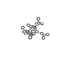 CC1C/C=C(c2cccc(-n3c4ccccc4c4ccccc43)c2)/N=C(c2ccccc2)\N=C/1c1ccc(-n2c3ccc(-c4ccc5c(c4)c4ccccc4n5-c4ccccc4)cc3c3cc(-c4ccc5c(c4)c4ccccc4n5-c4ccccc4)ccc32)c(-n2c3ccccc3c3ccccc32)c1